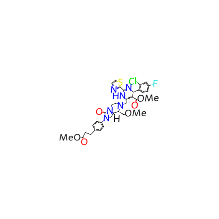 COC[C@H]1[C@@H]2CN(c3ccc(CCC(=O)OC)cc3)C(=O)N2CCN1CC1=C(C(=O)OC)[C@H](c2ccc(F)cc2Cl)N=C(c2nccs2)N1